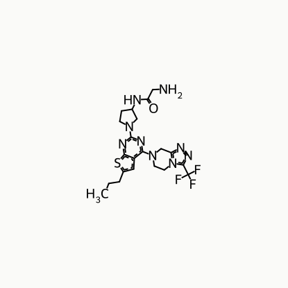 CCCc1cc2c(N3CCn4c(nnc4C(F)(F)F)C3)nc(N3CCC(NC(=O)CN)C3)nc2s1